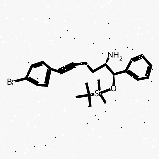 CC(C)(C)[Si](C)(C)O[C@H](c1ccccc1)[C@H](N)CCC#Cc1ccc(Br)cc1